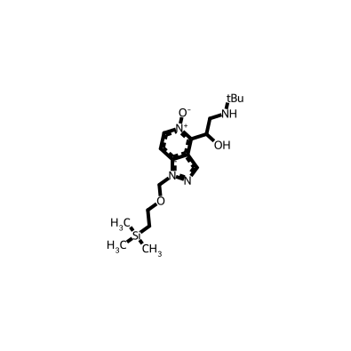 CC(C)(C)NCC(O)c1c2cnn(COCC[Si](C)(C)C)c2cc[n+]1[O-]